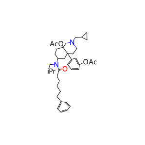 CC(=O)Oc1cccc(C23CCN(CC4CC4)CC2(OC(C)=O)CCC(N(CC(C)C)C(=O)CCCCCc2ccccc2)C3)c1